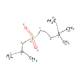 C[Si](C)CS(=O)(=O)CC[Si](C)(C)C